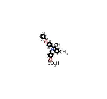 Cc1ccc2c(c1)c(C)c(-c1ccc(OCc3ccccc3)cc1)n2Cc1ccc(OCC(=O)O)cc1